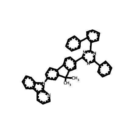 CC1(C)c2cc(-c3nc(-c4ccccc4)nc(-c4ccccc4-c4ccccc4)n3)ccc2-c2ccc(-n3c4ccccc4c4cccnc43)cc21